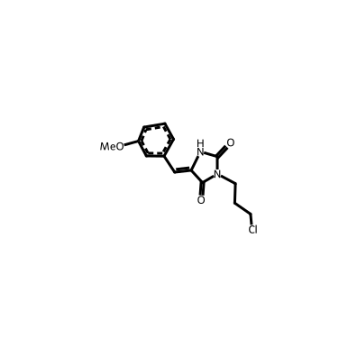 COc1cccc(/C=C2\NC(=O)N(CCCCl)C2=O)c1